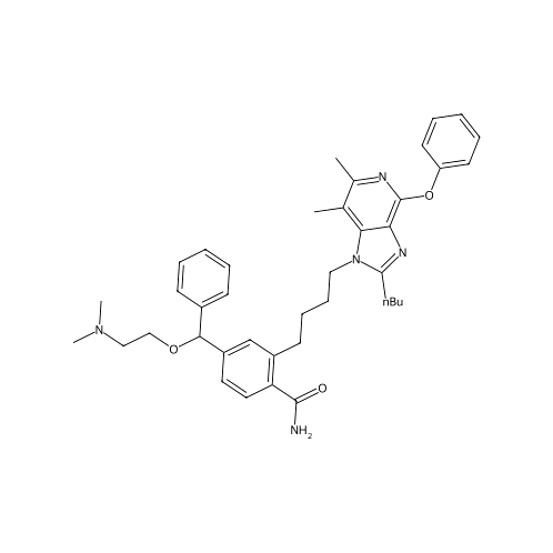 CCCCc1nc2c(Oc3ccccc3)nc(C)c(C)c2n1CCCCc1cc(C(OCCN(C)C)c2ccccc2)ccc1C(N)=O